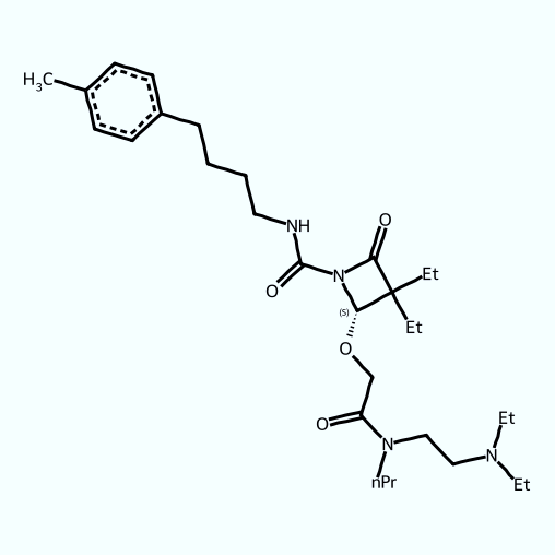 CCCN(CCN(CC)CC)C(=O)CO[C@@H]1N(C(=O)NCCCCc2ccc(C)cc2)C(=O)C1(CC)CC